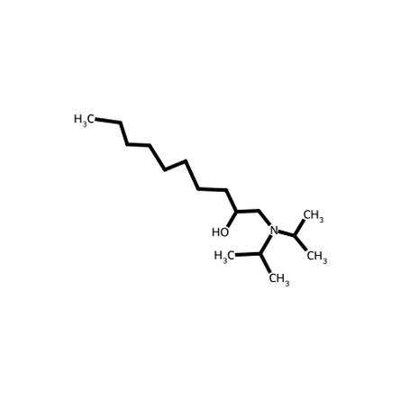 CCCCCCCCC(O)CN(C(C)C)C(C)C